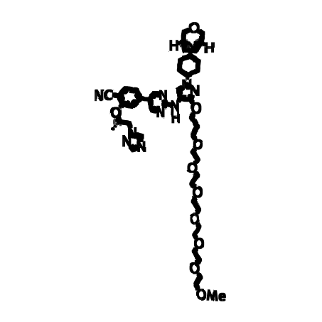 COCCOCCOCCOCCOCCOCCOCCCOc1nn([C@H]2CC[C@H](N3[C@@H]4CC[C@H]3COC4)CC2)cc1Nc1ncc(-c2ccc(C#N)c(O[C@@H](C)Cn3cncn3)c2)cn1